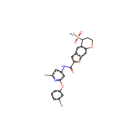 CS(=O)(=O)C1CCOc2cc3sc(C(=O)Nc4cc(Cl)nc(Oc5cccc(Cl)c5)c4)cc3cc21